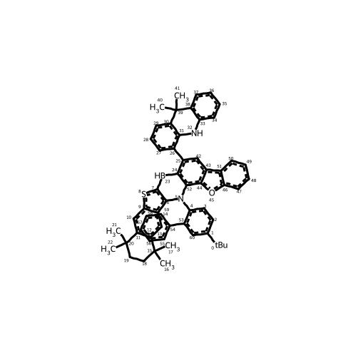 CC(C)(C)c1ccc(N2c3c(sc4cc5c(cc34)C(C)(C)CCC5(C)C)Bc3c(-c4cccc5c4Nc4ccccc4C5(C)C)cc4c(oc5ccccc54)c32)c(-c2ccccc2)c1